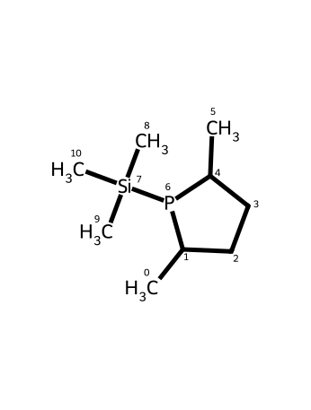 CC1CCC(C)P1[Si](C)(C)C